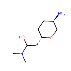 CN(C)C(O)C[C@@H]1CC[C@@H](N)CO1